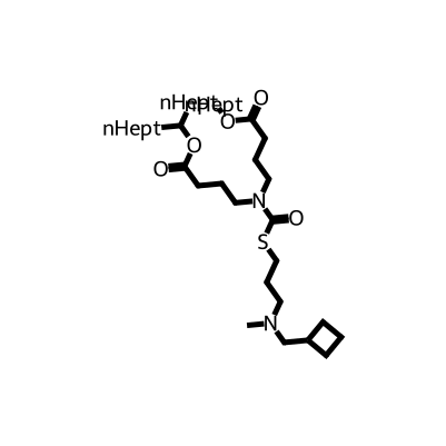 CCCCCCCOC(=O)CCCN(CCCC(=O)OC(CCCCCCC)CCCCCCC)C(=O)SCCCN(C)CC1CCC1